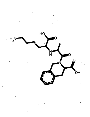 CC(N[C@@H](CCCCN)C(=O)O)C(=O)N1Cc2ccccc2CC1C(=O)O